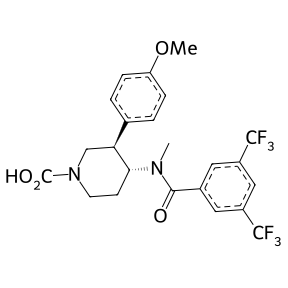 COc1ccc([C@@H]2CN(C(=O)O)CC[C@H]2N(C)C(=O)c2cc(C(F)(F)F)cc(C(F)(F)F)c2)cc1